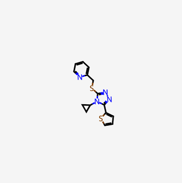 c1ccc(CSc2nnc(-c3cccs3)n2C2CC2)nc1